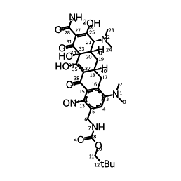 CN(C)c1cc(CNC(=O)OCC(C)(C)C)c(N=O)c2c1C[C@H]1C[C@H]3[C@H](N(C)C)C(O)=C(C(N)=O)C(=O)[C@@]3(O)C(O)=C1C2=O